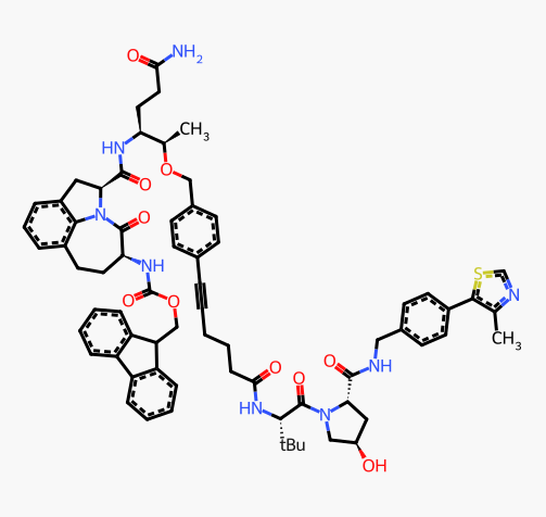 Cc1ncsc1-c1ccc(CNC(=O)[C@@H]2C[C@@H](O)CN2C(=O)[C@@H](NC(=O)CCCC#Cc2ccc(CO[C@H](C)[C@H](CCC(N)=O)NC(=O)[C@@H]3Cc4cccc5c4N3C(=O)[C@@H](NC(=O)OCC3c4ccccc4-c4ccccc43)CC5)cc2)C(C)(C)C)cc1